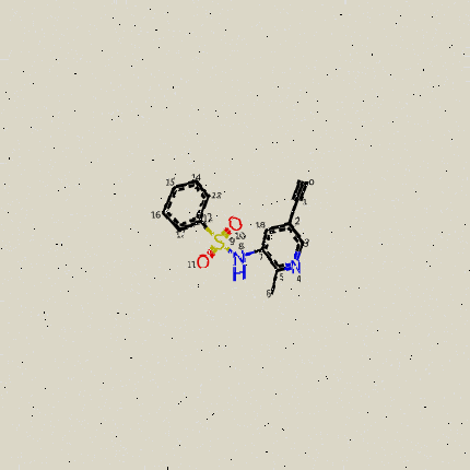 C#Cc1cnc(C)c(NS(=O)(=O)c2ccccc2)c1